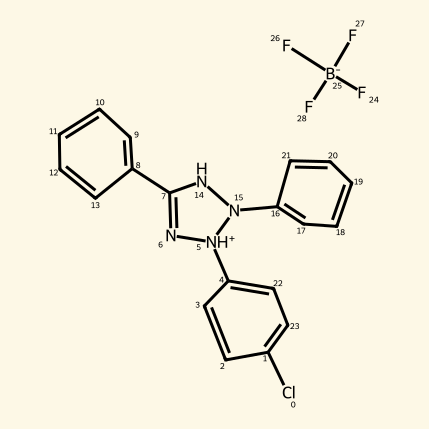 Clc1ccc([NH+]2N=C(c3ccccc3)NN2c2ccccc2)cc1.F[B-](F)(F)F